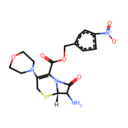 NC1C(=O)N2C(C(=O)OCc3ccc([N+](=O)[O-])cc3)=C(N3CCOCC3)CS[C@@H]12